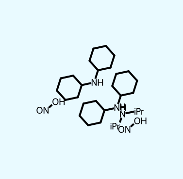 C1CCC(NC2CCCCC2)CC1.C1CCC(NC2CCCCC2)CC1.CC(C)NC(C)C.O=NO.O=NO